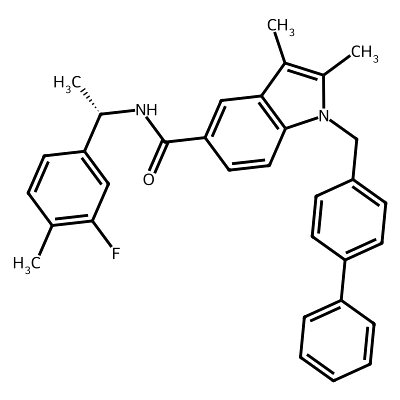 Cc1ccc([C@H](C)NC(=O)c2ccc3c(c2)c(C)c(C)n3Cc2ccc(-c3ccccc3)cc2)cc1F